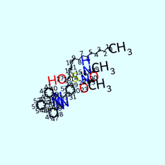 CCCCCCCCC/C=C\C=C\[C@@H](SC[C@H](NC(C)=O)N(C=O)CC)[C@@H](O)c1cccc(-c2nnn(C(c3ccccc3)(c3ccccc3)c3ccccc3)n2)c1